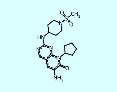 CS(=O)(=O)N1CCC(Nc2ncc3cc(N)c(=O)n(C4CCCC4)c3n2)CC1